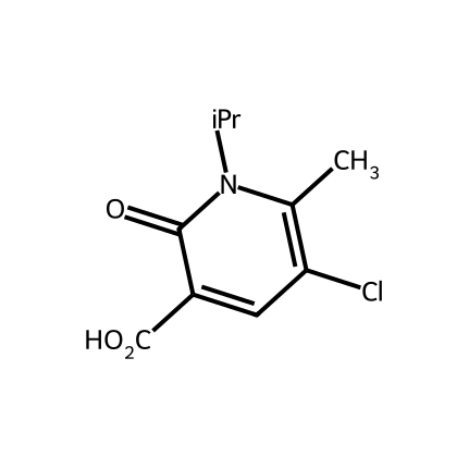 Cc1c(Cl)cc(C(=O)O)c(=O)n1C(C)C